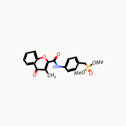 COP(=O)(Cc1ccc(NC(=O)c2oc3ccccc3c(=O)c2C)cc1)OC